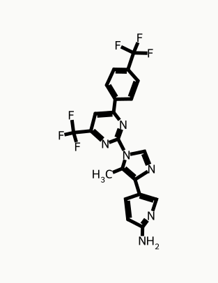 Cc1c(-c2ccc(N)nc2)ncn1-c1nc(-c2ccc(C(F)(F)F)cc2)cc(C(F)(F)F)n1